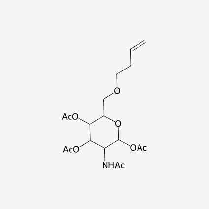 C=CCCOCC1OC(OC(C)=O)C(NC(C)=O)C(OC(C)=O)C1OC(C)=O